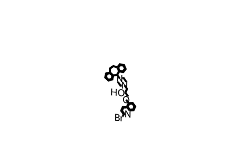 OC(COc1cccc2nc(Br)ccc12)CN1CCN(C2c3ccccc3CCc3ccccc32)CC1